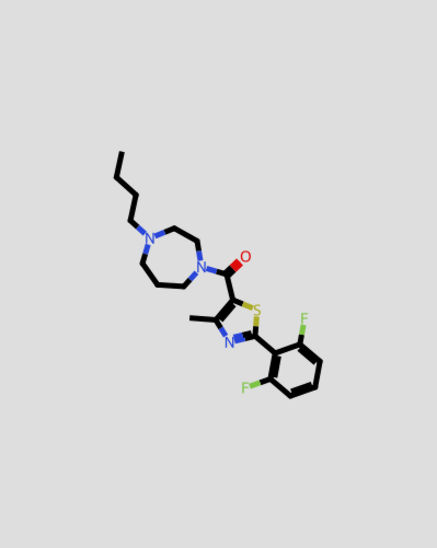 CCCCN1CCCN(C(=O)c2sc(-c3c(F)cccc3F)nc2C)CC1